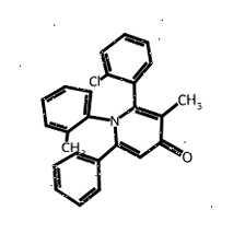 Cc1ccccc1-n1c(-c2ccccc2)cc(=O)c(C)c1-c1ccccc1Cl